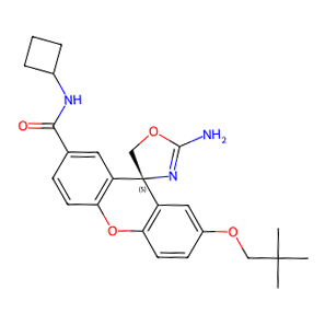 CC(C)(C)COc1ccc2c(c1)[C@]1(COC(N)=N1)c1cc(C(=O)NC3CCC3)ccc1O2